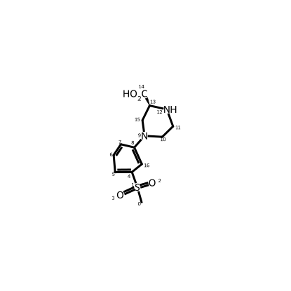 CS(=O)(=O)c1cccc(N2CCN[C@H](C(=O)O)C2)c1